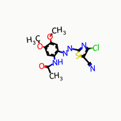 COc1cc(/N=N/c2nc(Cl)c(C#N)s2)c(NC(C)=O)cc1OC